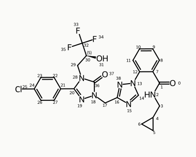 O=C(NCC1CC1)c1ccccc1-n1cnc(Cn2nc(-c3ccc(Cl)cc3)n(C[C@H](O)C(F)(F)F)c2=O)n1